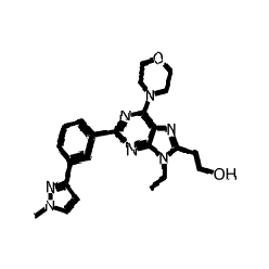 CCn1c(CCO)nc2c(N3CCOCC3)nc(-c3cccc(-c4ccn(C)n4)c3)nc21